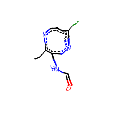 Cc1ncc(F)nc1NC=O